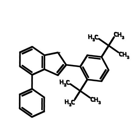 CC(C)(C)c1ccc(C(C)(C)C)c(C2=Cc3c(cccc3-c3ccccc3)[CH]2)c1